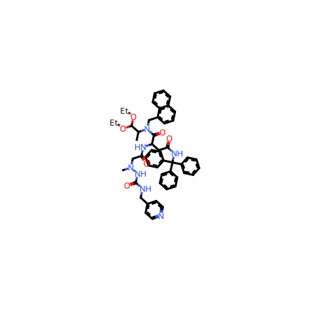 CCOC(OCC)C(C)N(Cc1cccc2ccccc12)C(=O)C(CC(=O)NC(c1ccccc1)(c1ccccc1)c1ccccc1)NC(=O)CN(C)NC(=O)NCc1ccncc1